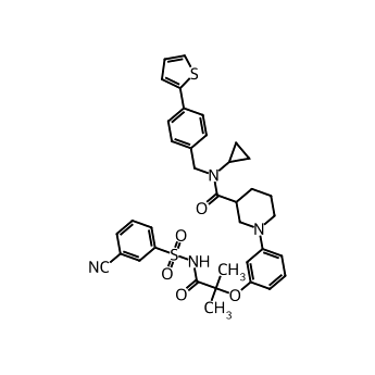 CC(C)(Oc1cccc(N2CCCC(C(=O)N(Cc3ccc(-c4cccs4)cc3)C3CC3)C2)c1)C(=O)NS(=O)(=O)c1cccc(C#N)c1